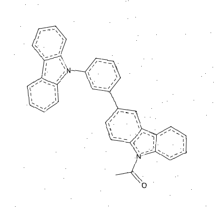 CC(=O)n1c2ccccc2c2cc(-c3cccc(-n4c5ccccc5c5ccccc54)c3)ccc21